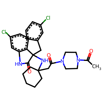 CC(=O)N1CCN(C(=O)CC2(NC3(Cc4cccc(Cl)c4)C(=O)Nc4cc(Cl)ccc43)CCCCC2)CC1